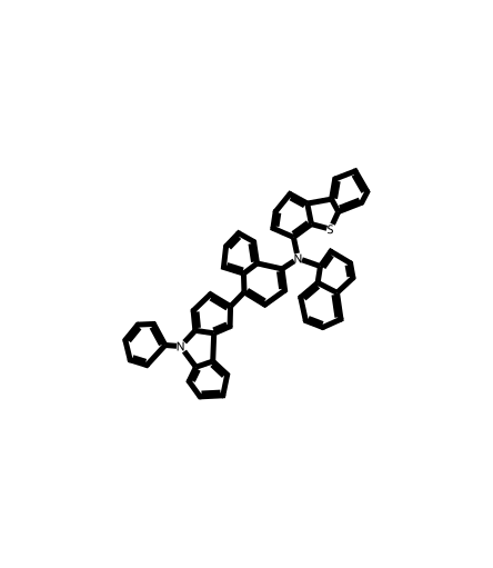 c1ccc(-n2c3ccccc3c3cc(-c4ccc(N(c5cccc6ccccc56)c5cccc6c5sc5ccccc56)c5ccccc45)ccc32)cc1